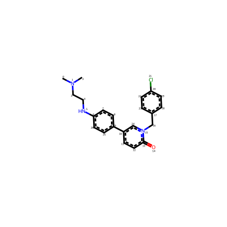 CN(C)CCNc1ccc(-c2ccc(=O)n(Cc3ccc(Cl)cc3)c2)cc1